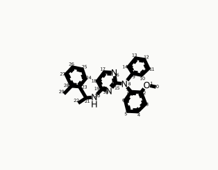 COc1ccccc1N(c1ccccc1)c1nccc(NC(C)c2ccccc2C)n1